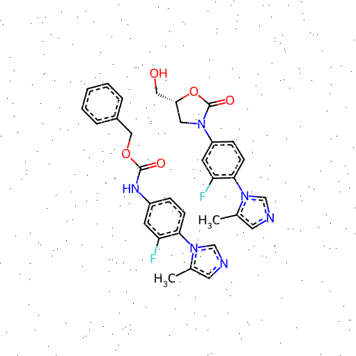 Cc1cncn1-c1ccc(N2C[C@H](CO)OC2=O)cc1F.Cc1cncn1-c1ccc(NC(=O)OCc2ccccc2)cc1F